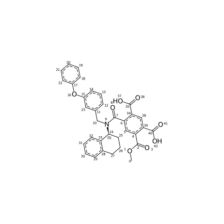 COC(=O)c1cc(C(=O)N(Cc2cccc(Oc3ccccc3)c2)[C@H]2CCCc3ccccc32)c(C(=O)O)cc1C(=O)O